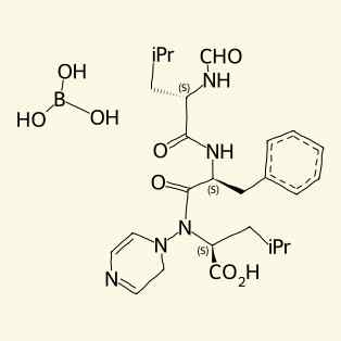 CC(C)C[C@H](NC=O)C(=O)N[C@@H](Cc1ccccc1)C(=O)N([C@@H](CC(C)C)C(=O)O)N1C=CN=CC1.OB(O)O